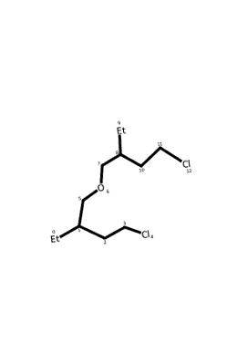 CCC(CCCl)COCC(CC)CCCl